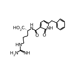 N=C(N)NCCC[C@@H](NC(=O)c1ccc(Cc2ccccc2)[nH]c1=O)C(=O)O